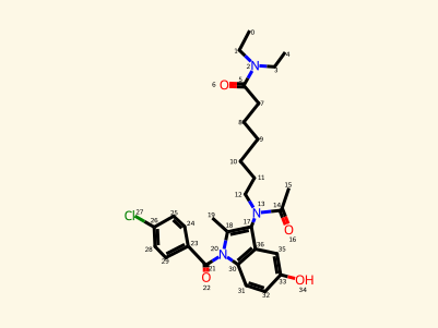 CCN(CC)C(=O)CCCCCCN(C(C)=O)c1c(C)n(C(=O)c2ccc(Cl)cc2)c2ccc(O)cc12